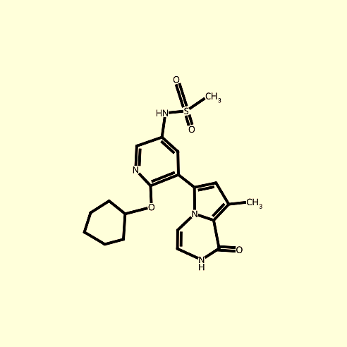 Cc1cc(-c2cc(NS(C)(=O)=O)cnc2OC2CCCCC2)n2cc[nH]c(=O)c12